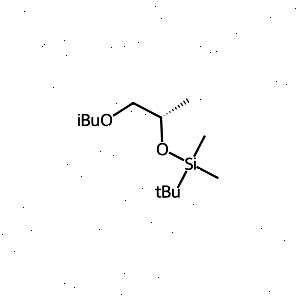 CC(C)COC[C@H](C)O[Si](C)(C)C(C)(C)C